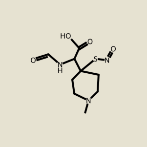 CN1CCC(SN=O)(C(NC=O)C(=O)O)CC1